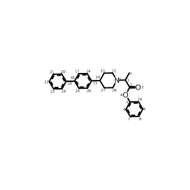 CC(C(=O)Oc1ccccc1)N1CCC(c2ccc(-c3ccccc3)cc2)CC1